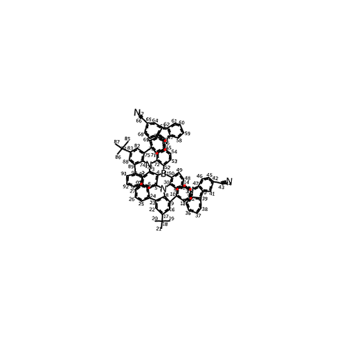 Cc1cc2c3c(c1)N(c1c(-c4ccccc4)cc(C(C)(C)C)cc1-c1ccccc1)c1cc(-n4c5ccccc5c5cc(C#N)ccc54)ccc1B3c1ccc(-n3c4ccccc4c4cc(C#N)ccc43)cc1N2c1c(-c2ccccc2)cc(C(C)(C)C)cc1-c1ccccc1